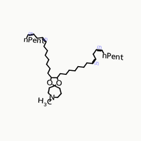 CCCCC/C=C\C/C=C\CCCCCCCC1OC2(CCCN(C)CC2)OC1CCCCCCC/C=C\C/C=C\CCCCC